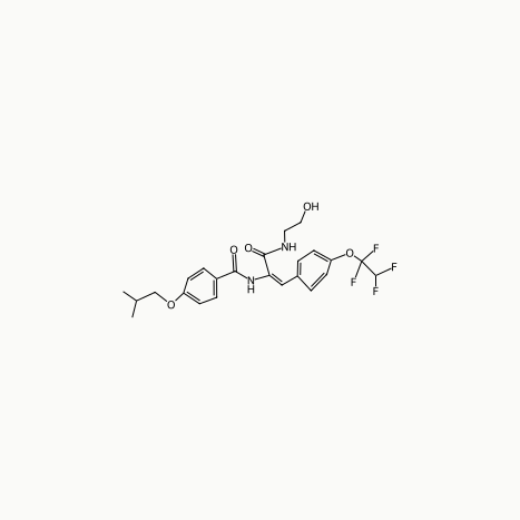 CC(C)COc1ccc(C(=O)NC(=Cc2ccc(OC(F)(F)C(F)F)cc2)C(=O)NCCO)cc1